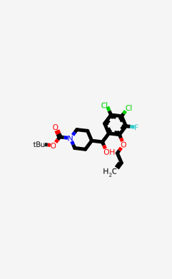 C=CCOc1c(C(O)C2CCN(C(=O)OC(C)(C)C)CC2)cc(Cl)c(Cl)c1F